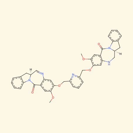 COc1cc2c(cc1OCc1cccc(COc3cc4c(cc3OC)C(=O)N3c5ccccc5C[C@H]3CN4)n1)N=C[C@@H]1Cc3ccccc3N1C2=O